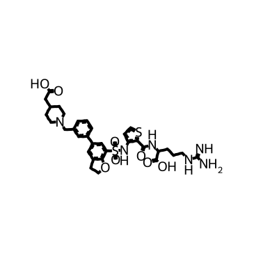 N=C(N)NCCCC(NC(=O)c1sccc1NS(=O)(=O)c1cc(-c2cccc(CN3CCC(CC(=O)O)CC3)c2)cc2c1OCC2)C(=O)O